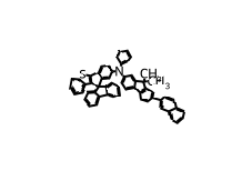 CC1(C)c2cc(-c3ccc4ccccc4c3)ccc2-c2ccc(N(c3ccccc3)c3ccc4c(c3)C3(c5ccccc5-c5ccccc53)c3c-4sc4ccccc34)cc21